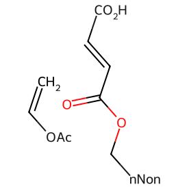 C=COC(C)=O.CCCCCCCCCCOC(=O)C=CC(=O)O